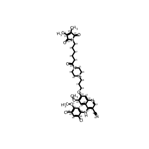 COc1cc(Nc2c(C#N)cnc3cc(OCCCN4CCN(C(=O)CCCCCN5C(=O)C(C)=C(C)C5=O)CC4)c(OC)cc23)c(Cl)cc1Cl